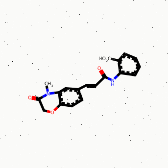 CN1C(=O)COc2ccc(/C=C/C(=O)Nc3ccccc3C(=O)O)cc21